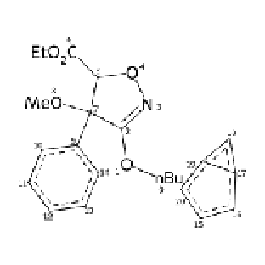 CCCCOC1=NOC(C(=O)OCC)C1(OC)c1ccccc1.c1cc2cc-2c1